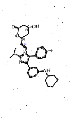 CC(C)c1nc(-c2cccc(NC3CCCCC3)c2)c(-c2ccc(F)cc2)n1/C=C/[C@@H]1C[C@@H](O)CC(=O)O1